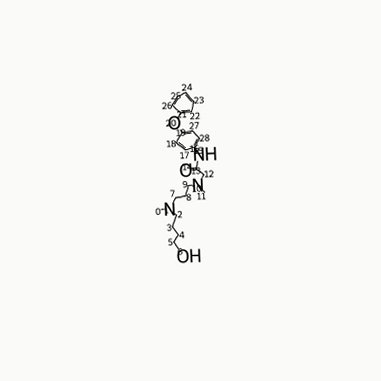 CN(CCCCO)CCCN(C)CC(=O)Nc1ccc(Oc2ccccc2)cc1